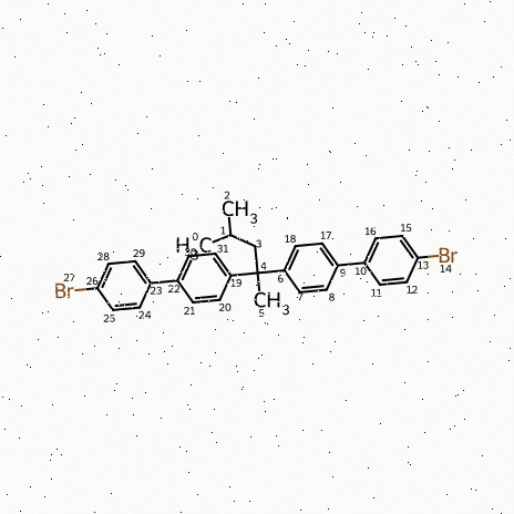 CC(C)CC(C)(c1ccc(-c2ccc(Br)cc2)cc1)c1ccc(-c2ccc(Br)cc2)cc1